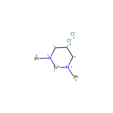 CC(C)[N]1CCC[N](C(C)C)[Ti+2]1.[Cl-].[Cl-]